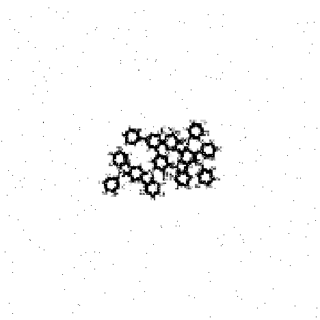 N#Cc1cc(-c2ccccc2)cc(-c2cc(-n3c4ccccc4c4cc5c(cc43)c3ccccc3n5-c3ccccc3)c(C#N)c(-n3c4ccccc4c4c5c(c6ccccc6n5-c5ccccc5)c5c(c6ccccc6n5-c5ccccc5)c43)c2)c1